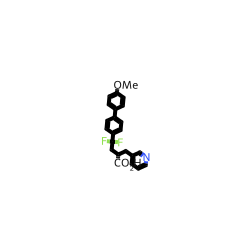 COc1ccc(-c2ccc(C(F)(F)CC(Cc3cccnc3)C(=O)O)cc2)cc1